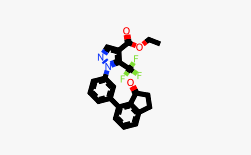 CCOC(=O)c1cnn(-c2cccc(-c3cccc4c3C(=O)CC4)c2)c1C(F)(F)F